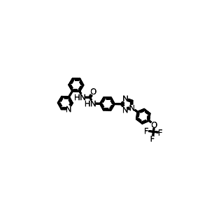 O=C(Nc1ccc(-c2ncn(-c3ccc(OC(F)(F)F)cc3)n2)cc1)Nc1ccccc1-c1cccnc1